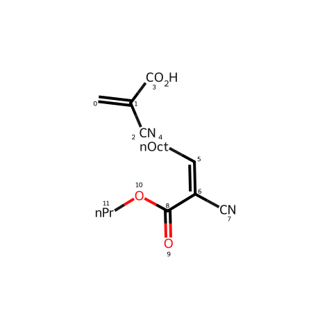 C=C(C#N)C(=O)O.CCCCCCCCC=C(C#N)C(=O)OCCC